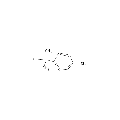 CC(C)(Cl)c1ccc(C(F)(F)F)cc1